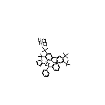 CC(C)(C)c1cc2c(cc1C(C)(C)C)-c1cc(C(C)(C)C)c(C(C)(C)C)[c]([Zr]([C]3=CC=CC3)=[C](c3ccccc3)c3ccccc3)c1C2.Cl.Cl